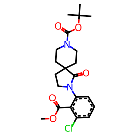 COC(=O)c1c(Cl)cccc1N1CCC2(CCN(C(=O)OC(C)(C)C)CC2)C1=O